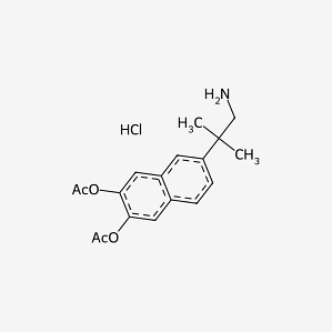 CC(=O)Oc1cc2ccc(C(C)(C)CN)cc2cc1OC(C)=O.Cl